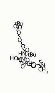 Cc1ncsc1-c1ccc(CNC(=O)[C@@H]2C[C@@H](O)CN2C(=O)C(NC(=O)COCCOCCOCC(=O)OC(C)(C)C)C(C)(C)C)cc1